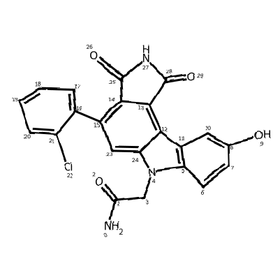 NC(=O)Cn1c2ccc(O)cc2c2c3c(c(-c4ccccc4Cl)cc21)C(=O)NC3=O